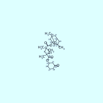 CCC(C)(CC(C)(C)C(=O)OC12CC3CC(C)(CC(C)(C3)C1)C2)C(=O)OC1CCCC(=O)C1